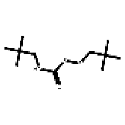 CC(C)(C)CNC(=O)SSCC(C)(C)C